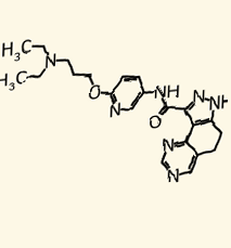 CCN(CC)CCCOc1ccc(NC(=O)c2n[nH]c3c2-c2ncncc2CC3)cn1